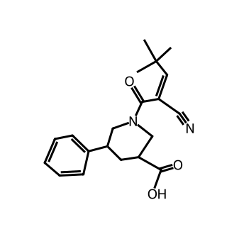 CC(C)(C)/C=C(/C#N)C(=O)N1CC(C(=O)O)CC(c2ccccc2)C1